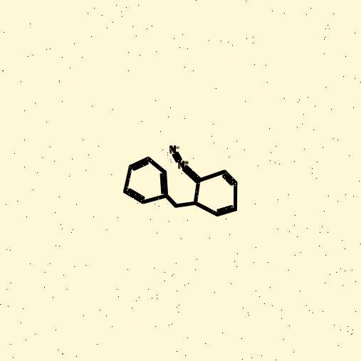 [N-]=[N+]=C1C=CC=CC1Cc1ccccc1